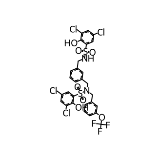 O=S(=O)(NCc1cccc(CN(Cc2cccc(OC(F)(F)F)c2)S(=O)(=O)c2cc(Cl)cc(Cl)c2O)c1)c1cc(Cl)cc(Cl)c1O